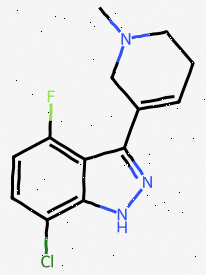 CN1CCC=C(c2n[nH]c3c(Cl)ccc(F)c23)C1